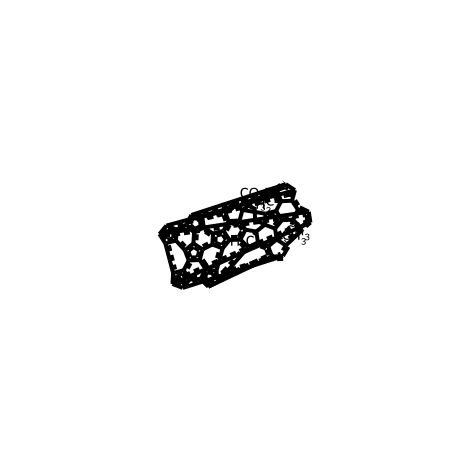 CCOC(=O)CCCC12C3=C4C5=C1C1(C)c6c7c8c9c(c%10c%11c%12c(c%13c%14c%15c(c%16c%17c%18c(c1c1c6c6c8c8c%19c9c%11c9c%11c%12c%14c%12c%14c%15c%17c%15c%17c%18c1c1c6c8c6c(c9%19)c(c%11%12)c(c%14%15)c6c1%17)C%162C)C3%13C)C4%10C)C57C